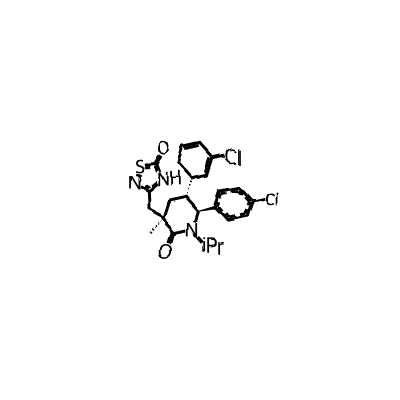 CC(C)N1C(=O)[C@@](C)(Cc2nsc(=O)[nH]2)C[C@H](C2C=C(Cl)C=CC2)[C@H]1c1ccc(Cl)cc1